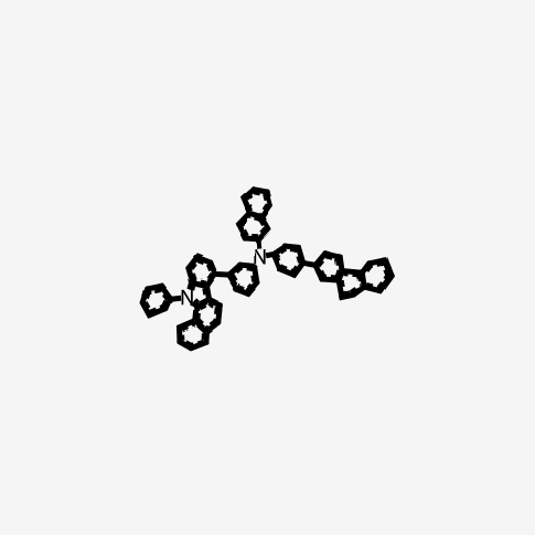 c1ccc(-n2c3cccc(-c4cccc(N(c5ccc(-c6ccc7c(ccc8ccccc87)c6)cc5)c5ccc6ccccc6c5)c4)c3c3ccc4ccccc4c32)cc1